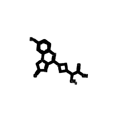 CN(C(=O)O)C1CN(C2=Nc3ccc(Br)cc3N3CC(=O)N=C23)C1